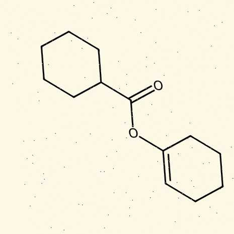 O=C(OC1=CCCCC1)C1CCCCC1